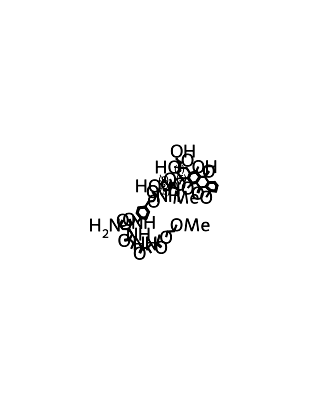 COCCOCC(=O)NC(C)C(=O)NC(C)C(=O)NC(CC(N)=O)C(=O)Nc1ccc(COC(=O)N[C@H]2C[C@H](O[C@H]3C[C@](O)(C(=O)CO)Cc4c(O)c5c(c(O)c43)C(=O)c3c(OC)cccc3C5=O)O[C@@H](C)[C@H]2O)cc1